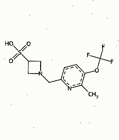 Cc1nc(CN2CC(S(=O)(=O)O)C2)ccc1OC(F)(F)F